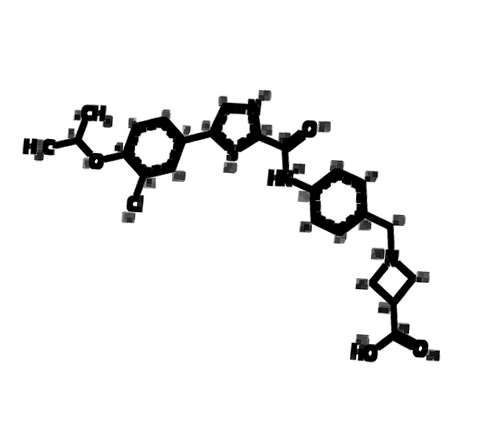 CC(C)Oc1ccc(-c2cnc(C(=O)Nc3ccc(CN4CC(C(=O)O)C4)cc3)s2)cc1Cl